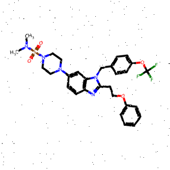 CN(C)S(=O)(=O)N1CCN(c2ccc3nc(CCOc4ccccc4)n(Cc4ccc(OC(F)(F)F)cc4)c3c2)CC1